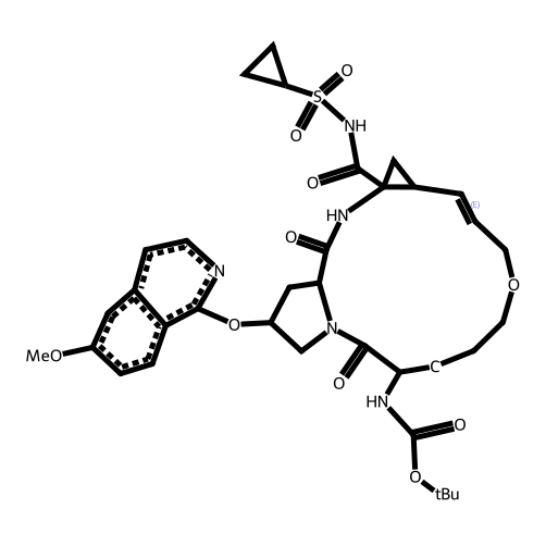 COc1ccc2c(OC3CC4C(=O)NC5(C(=O)NS(=O)(=O)C6CC6)CC5/C=C/COCCCC(NC(=O)OC(C)(C)C)C(=O)N4C3)nccc2c1